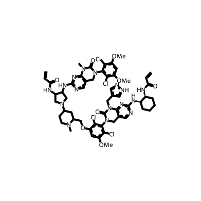 C=CC(=O)NC1CN(C2CCN(C)C(COc3cc(OC)c(Cl)c(N4Cc5cnc(N[C@@H]6CCCC[C@@H]6NC(=O)C=C)nc5N(Cc5cn[nH]c5)C4=O)c3Cl)C2)CC1Nc1ncc2c(n1)N(C)C(=O)N(c1c(Cl)c(OC)cc(OC)c1Cl)C2